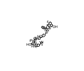 C#Cc1c(F)ccc2cc(O)cc(-c3ncc4c(N5CC6CCC(C5)N6)nc(OCCN5CCC(O)(CC6CCN(c7cc([C@H](C(=O)N8C[C@H](O)C[C@H]8C(=O)N[C@@H](C)c8ccc(-c9scnc9C)cc8)C(C)C)on7)CC6)CC5)nc4c3F)c12